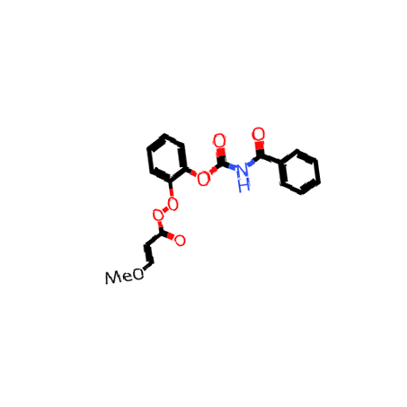 COC=CC(=O)OOc1ccccc1OC(=O)NC(=O)c1ccccc1